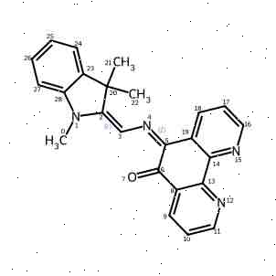 CN1/C(=C/N=C2\C(=O)c3cccnc3-c3ncccc32)C(C)(C)c2ccccc21